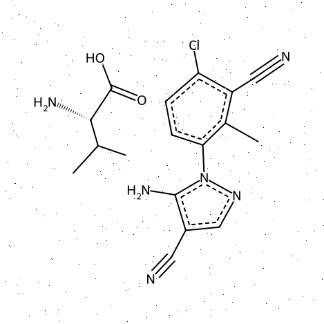 CC(C)[C@H](N)C(=O)O.Cc1c(-n2ncc(C#N)c2N)ccc(Cl)c1C#N